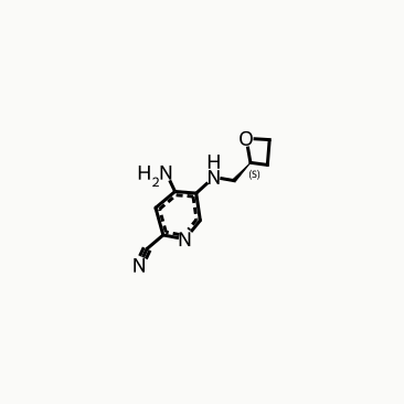 N#Cc1cc(N)c(NC[C@@H]2CCO2)cn1